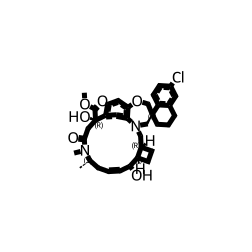 COC(=O)[C@@]1(O)CC(=O)N(C)[C@@H](C)CC=CC(O)[C@@H]2CC[C@H]2CN2C[C@@]3(CCCc4cc(Cl)ccc43)COc3ccc1cc32